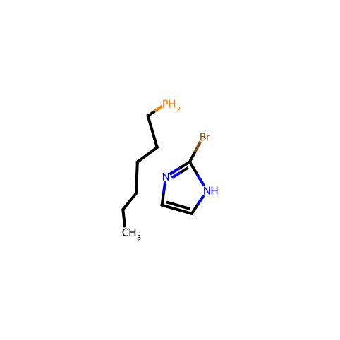 Brc1ncc[nH]1.CCCCCCP